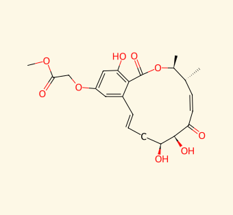 COC(=O)COc1cc(O)c2c(c1)/C=C/C[C@H](O)[C@H](O)C(=O)/C=C\[C@@H](C)[C@H](C)OC2=O